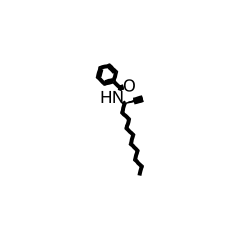 C#C[C@@H](CCCCCCCCC)NC(=O)c1ccccc1